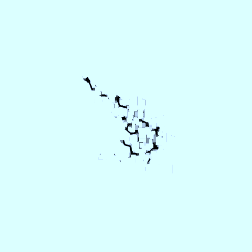 C#CCNC(=O)CNC(=O)C(=O)[C@H](CCC)NC(=O)[C@@H]1CCCN1C(=O)[C@@H](NC(=O)[C@@H](NC(=O)[C@H](CCC(=O)O)NC(=O)[C@H](CCC(=O)O)NC(C)=O)C(C)C)C(C)C